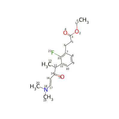 CCOC(=O)CCc1cccc(C(C)C(=O)/C=C/N(C)C)c1F